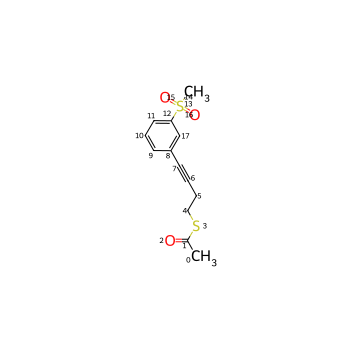 CC(=O)SCCC#Cc1cccc(S(C)(=O)=O)c1